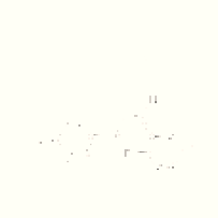 CCOC(=O)CCNc1cc(-c2ccc(Br)cc2)nc2ccccc12